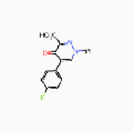 CC(C)n1cc(-c2ccc(F)cc2)c(=O)c(C(=O)O)n1